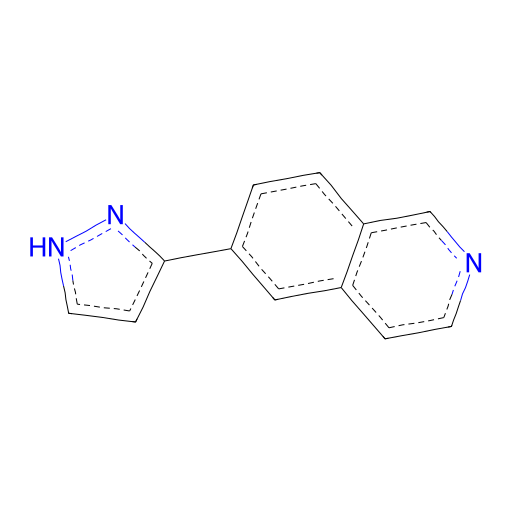 c1cc2cc(-c3cc[nH]n3)ccc2cn1